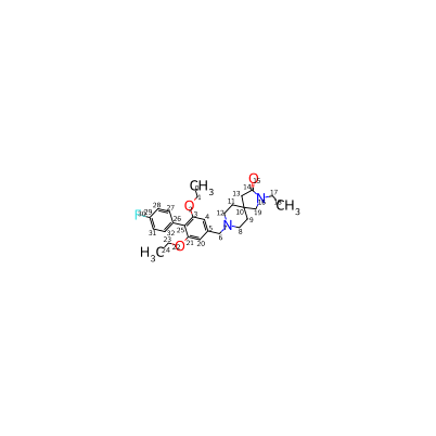 CCOc1cc(CN2CCC3(CC2)CC(=O)N(CC)C3)cc(OCC)c1-c1ccc(F)cc1